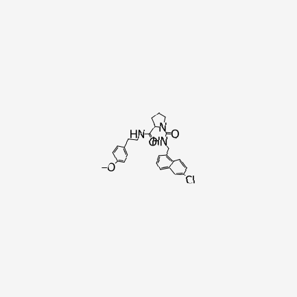 COc1ccc(CCNC(=O)C2CCCN2C(=O)NCc2cccc3cc(Cl)ccc23)cc1